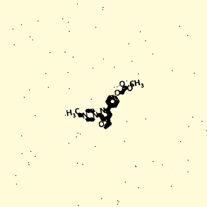 CCN1CCN(c2nc(-c3ccc(OCC(=O)OC)cc3)cc3ccoc23)CC1